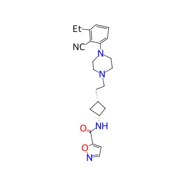 CCc1cccc(N2CCN(CC[C@H]3C[C@@H](NC(=O)c4ccno4)C3)CC2)c1C#N